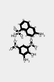 Nc1cc([N+](=O)[O-])cc([N+](=O)[O-])c1O.Nc1ccc2c(S(=O)(=O)O)cccc2c1